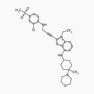 CC1(N2CCOCC2)CCC(Nc2cccc3c2cc(C#CCNc2ccc(S(C)(=O)=O)cc2Cl)n3CC(F)(F)F)CC1